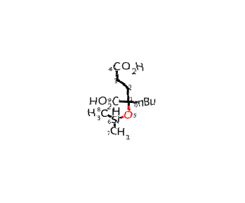 CCCCC(CCC(=O)O)(O[SiH](C)C)C(=O)O